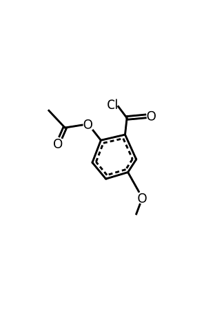 COc1ccc(OC(C)=O)c(C(=O)Cl)c1